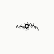 CC(=O)CSc1ccc(OCCN)cc1